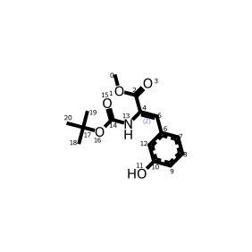 COC(=O)/C(=C/c1cccc(O)c1)NC(=O)OC(C)(C)C